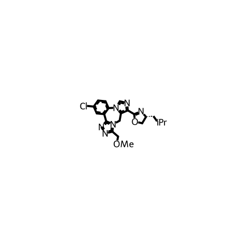 COCc1nnc2n1Cc1c(C3=N[C@H](CC(C)C)CO3)ncn1-c1ccc(Cl)cc1-2